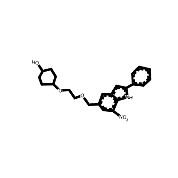 O=[N+]([O-])c1cc(COCCOC2CCC(O)CC2)cc2cc(-c3ccccc3)[nH]c12